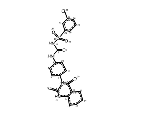 O=C(Nc1ccc(-n2c(=O)[nH]c3ccccc3c2=O)cc1)NS(=O)(=O)c1cccc(Cl)c1